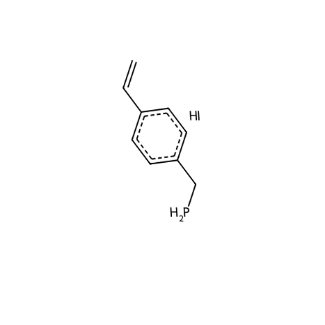 C=Cc1ccc(CP)cc1.I